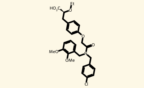 CCO[C@@H](Cc1ccc(OCC(=O)N(Cc2ccc(Cl)cc2)Cc2cccc(OC)c2OC)cc1)C(=O)O